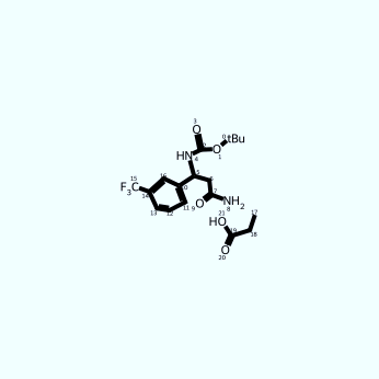 CC(C)(C)OC(=O)NC(CC(N)=O)c1cccc(C(F)(F)F)c1.CCC(=O)O